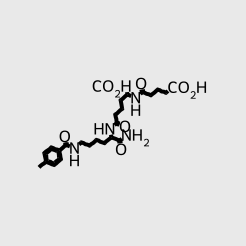 Cc1ccc(C(=O)NCCCCC(NC(=O)CCCC(NC(=O)CCCC(=O)O)C(=O)O)C(N)=O)cc1